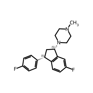 CN1CCN([C@H]2C[C@@H](c3ccc(F)cc3)c3ccc(F)cc32)CC1